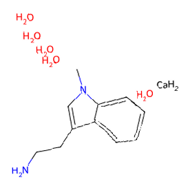 Cn1cc(CCN)c2ccccc21.O.O.O.O.O.[CaH2]